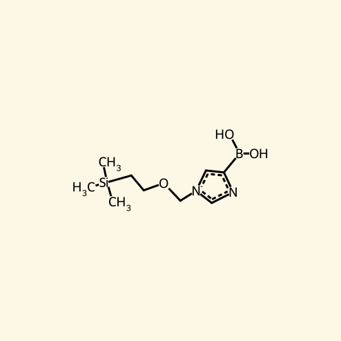 C[Si](C)(C)CCOCn1cnc(B(O)O)c1